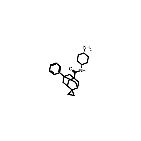 N[C@H]1CC[C@H](NC(=O)C23CC4CC(c5ccccc5)(CC(C2)C42CC2)C3)CC1